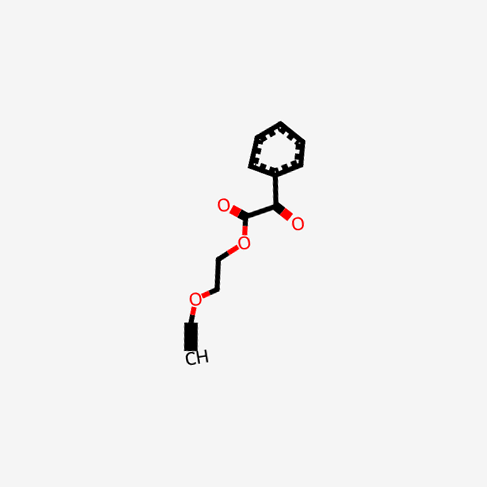 C#COCCOC(=O)C(=O)c1ccccc1